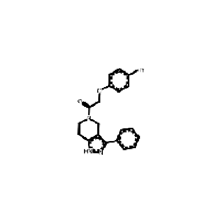 CC(C)c1ccc(OCC(=O)N2CCc3[nH]nc(-c4ccccc4)c3C2)cc1